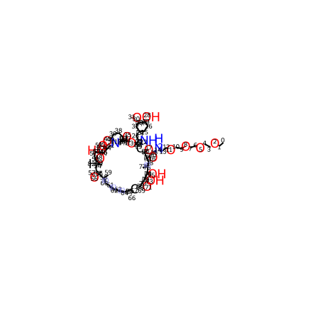 CCOCCOCCOCCOCCNC(=O)O[C@@H]1C[C@@H]([C@H](N)C[C@@H]2CC[C@@H](O)[C@H](OC)C2)OC(=O)[C@@H]2CCCCN2C(=O)C(=O)[C@]2(O)O[C@@H](CC[C@H]2C)C[C@H](OC)/C(C)=C/C=C/C=C/[C@@H](C)C[C@@H](C)C(=O)[C@H](O)[C@H](O)/C(C)=C/[C@H]1C